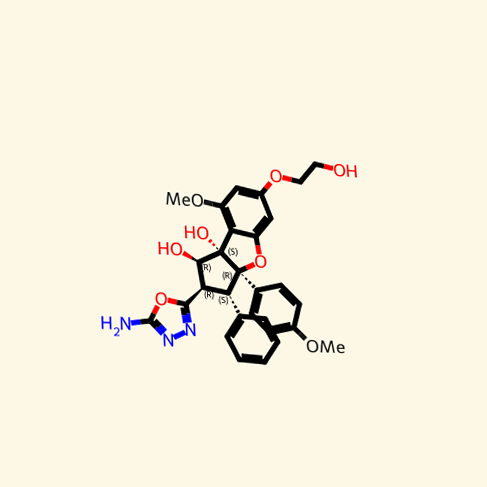 COc1ccc([C@@]23Oc4cc(OCCO)cc(OC)c4[C@]2(O)[C@H](O)[C@H](c2nnc(N)o2)[C@H]3c2ccccc2)cc1